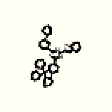 c1ccc(-c2cccc(-c3nc(-c4ccc5c(c4)C(c4ccccc4)(c4ccccc4)c4ccccc4-5)nc(-c4cc5ccccc5o4)n3)c2)cc1